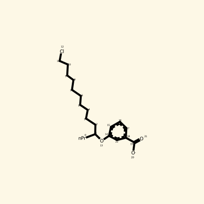 CCCC(CCCCCCCCCCCl)Oc1cccc(C([O])=O)c1